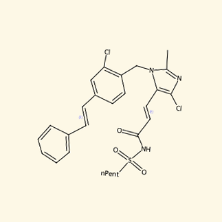 CCCCCS(=O)(=O)NC(=O)/C=C/c1c(Cl)nc(C)n1Cc1ccc(/C=C/c2ccccc2)cc1Cl